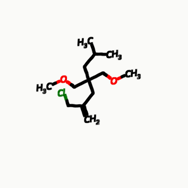 C=C(CCl)CC(COC)(COC)CC(C)C